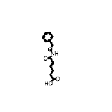 O=C(O)CCC=CC(=O)NOCc1ccccc1